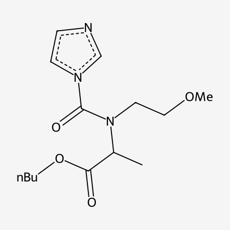 CCCCOC(=O)C(C)N(CCOC)C(=O)n1ccnc1